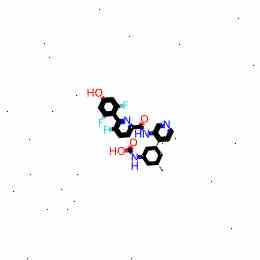 C[C@@H]1CC(NC(=O)O)C[C@H](c2ccncc2NC(=O)c2ccc(F)c(-c3c(F)cc(O)cc3F)n2)C1